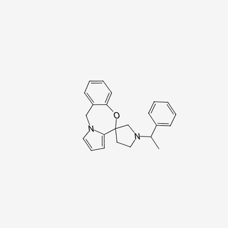 CC(c1ccccc1)N1CCC2(C1)Oc1ccccc1Cn1cccc12